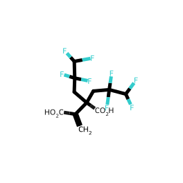 C=C(C(=O)O)C(CC(F)(F)C(F)F)(CC(F)(F)C(F)F)C(=O)O